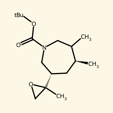 CC1CN(C(=O)OC(C)(C)C)C[C@@H](C2(C)CO2)C[C@@H]1C